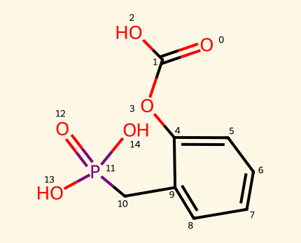 O=C(O)Oc1ccccc1CP(=O)(O)O